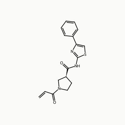 C=CC(=O)N1CC[C@H](C(=O)Nc2nc(-c3ccccc3)cs2)C1